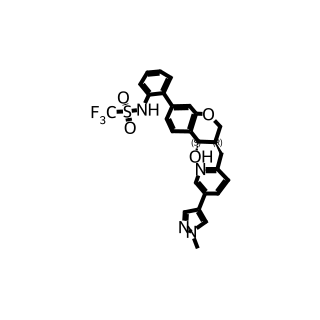 Cn1cc(-c2ccc(C[C@@H]3COc4cc(-c5ccccc5NS(=O)(=O)C(F)(F)F)ccc4[C@H]3O)nc2)cn1